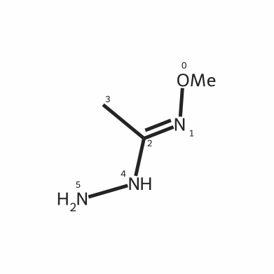 CO/N=C(\C)NN